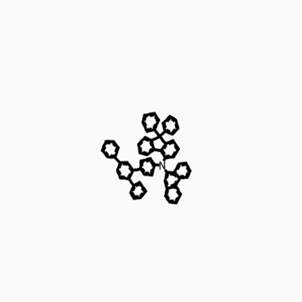 c1ccc(-c2ccc(-c3ccccc3)c(-c3ccc(N(c4cccc5c4-c4ccccc4C5(c4ccccc4)c4ccccc4)c4cc5ccccc5c5ccccc45)cc3)c2)cc1